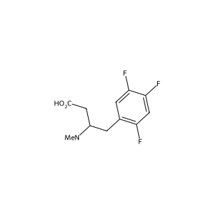 CNC(CC(=O)O)Cc1cc(F)c(F)cc1F